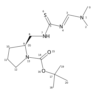 CN(C)C=NC(=S)NC[C@@H]1CCCN1C(=O)OC(C)(C)C